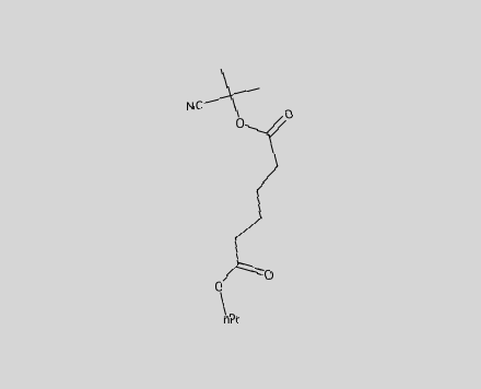 CCCOC(=O)CCCCC(=O)OC(C)(C)C#N